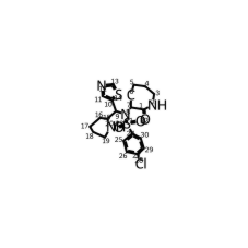 O=C1NCCCCC1N(C(c1cncs1)C1CCCCN1)S(=O)(=O)c1ccc(Cl)cc1